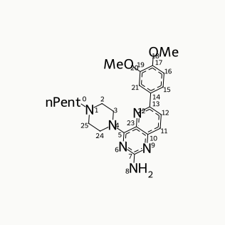 CCCCCN1CCN(c2nc(N)nc3ccc(-c4ccc(OC)c(OC)c4)nc23)CC1